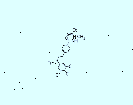 CCC(=S)N(C)NC(=O)c1ccc(/C=C/C(c2cc(Cl)c(Cl)c(Cl)c2)C(F)(F)F)cc1